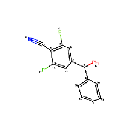 N#Cc1c(F)cc(C(O)c2ccccc2)cc1F